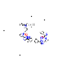 CN(C)[C@@H](C(=O)N1CCC[C@H]1c1ncc(-c2ccc(-c3ccc(-c4cnc([C@@H]5CCCN5C(=O)C5CCC(N(C(=O)O)C(C)(C)C)CC5)[nH]4)cc3)cc2)[nH]1)c1ccccc1